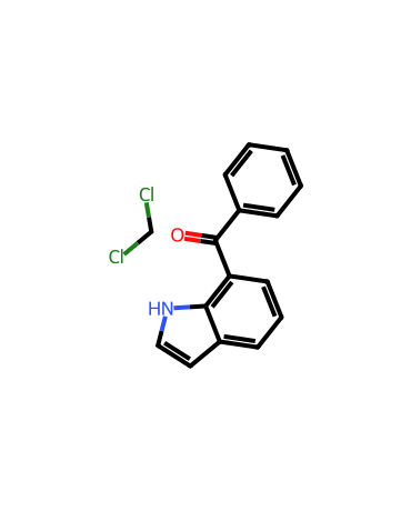 ClCCl.O=C(c1ccccc1)c1cccc2cc[nH]c12